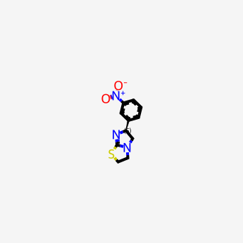 O=[N+]([O-])c1cccc([C@H]2CN3CCSC3=N2)c1